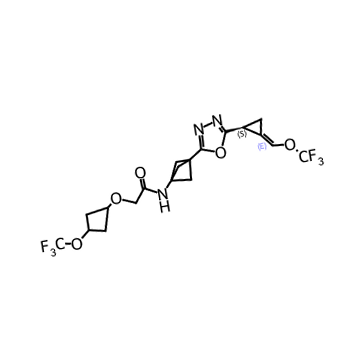 O=C(COC1CC(OC(F)(F)F)C1)NC12CC(c3nnc([C@H]4C/C4=C\OC(F)(F)F)o3)(C1)C2